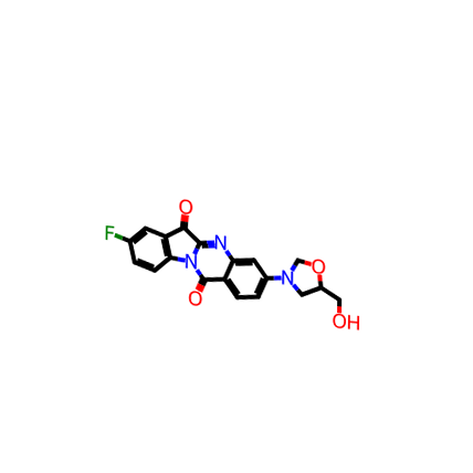 O=C1c2cc(F)ccc2-n2c1nc1cc(N3COC(CO)C3)ccc1c2=O